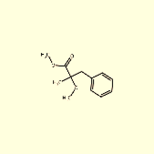 COC(=O)C(C)(Cc1ccccc1)OC